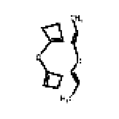 C1=C(OC2=CCC2)CC1.CC=COC=CC